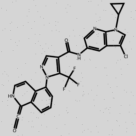 O=C=C1NC=Cc2c1cccc2-n1ncc(C(=O)Nc2cnc3c(c2)c(Cl)cn3C2CC2)c1C(F)(F)F